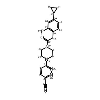 N#Cc1ccc(N2CCN(C(=O)Cc3ccc(C4CC4)cc3F)CC2)nn1